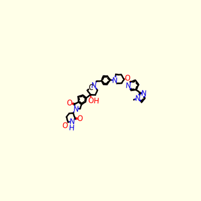 Cn1ccnc1-c1ccc(OC2CCN(c3ccc(CN4CCC(O)(c5ccc6c(c5)CN(C5CCC(=O)NC5=O)C6=O)CC4)cc3)CC2)nc1